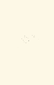 Nc1nnc(CC2CC2)o1